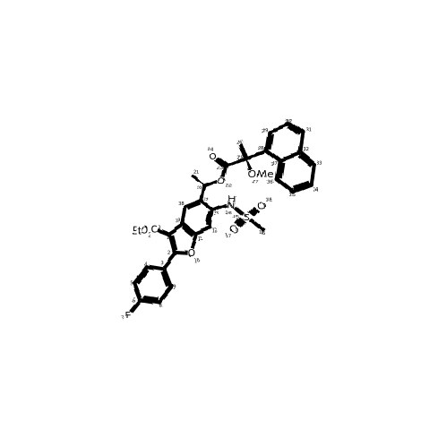 CCOC(=O)c1c(-c2ccc(F)cc2)oc2cc(NS(C)(=O)=O)c([C@@H](C)OC(=O)[C@@](C)(OC)c3cccc4ccccc34)cc12